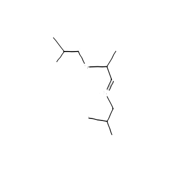 CC(C)C/N=C/C(C)NCC(C)C